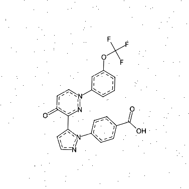 O=C(O)c1ccc(-n2nccc2-c2nn(-c3cccc(OC(F)(F)F)c3)ccc2=O)cc1